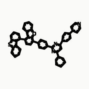 c1ccc(-c2cc(-c3ccc(-c4ccncc4)cc3)nc(-c3ccc(-c4ccc(-c5cccc6sc7ccccc7c56)c5c4oc4ccccc45)cc3)n2)cc1